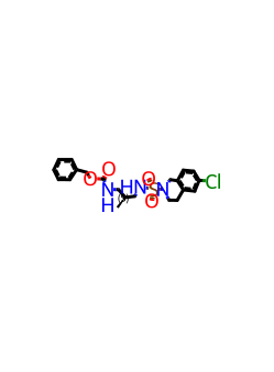 C[C@@H](CNC(=O)OCc1ccccc1)CNS(=O)(=O)N1CCc2cc(Cl)ccc2C1